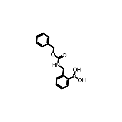 O=C(NCc1ccccc1B(O)O)OCc1ccccc1